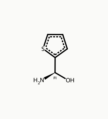 N[C@H](O)c1cccs1